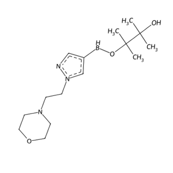 CC(C)(O)C(C)(C)OBc1cnn(CCN2CCOCC2)c1